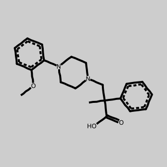 COc1ccccc1N1CCN(CC(C)(C(=O)O)c2ccccc2)CC1